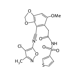 COc1cc2c(c(C#[N+]c3onc(C)c3Cl)c1CC(=O)NS(=O)(=O)c1ccsc1)OCO2